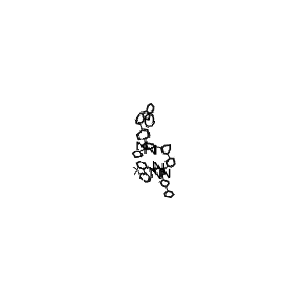 CC1(C)c2ccccc2-c2c(-c3nc(-c4ccc(-c5ccccc5)cc4)nc(-c4cccc(-c5cccc(-c6cc(-c7ccc(-c8cccc9c8oc8ccccc89)cc7)nc(-c7ccccc7)n6)c5)c4)n3)cccc21